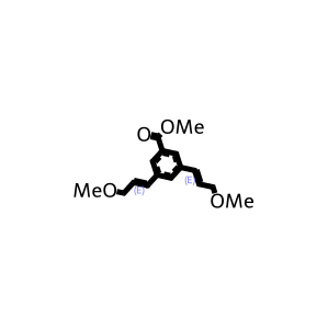 COC/C=C/c1cc(/C=C/COC)cc(C(=O)OC)c1